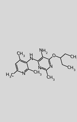 CCC(CC)Oc1nc(C)nc(Nc2c(C)cc(C)nc2C)c1N